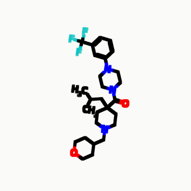 CC(C)CC1(C(=O)N2CCN(c3cccc(C(F)(F)F)c3)CC2)CCN(CC2CCOCC2)CC1